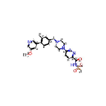 CCOc1cncc(-c2ccc(CN3CCN(c4ccc(C(=O)NS(C)(=O)=O)nn4)CC3)cc2C)c1